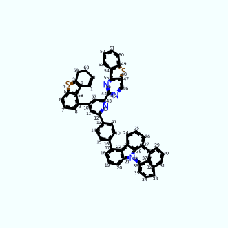 C1=Cc2c(sc3cccc(-c4cc(-c5ccc(-c6cccc7c6c6cccc8c9cccc%10cccc(c%109)n7c86)cc5)nc(-c5ncc6sc7ccccc7c6n5)c4)c23)CC1